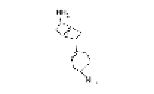 NC1CC=C(C2CC3=C2CC3N)CC1